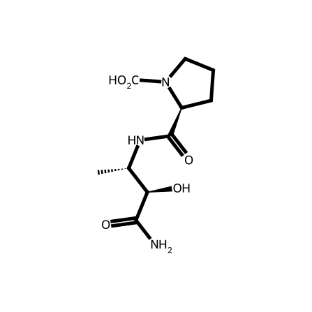 C[C@H](NC(=O)[C@@H]1CCCN1C(=O)O)[C@@H](O)C(N)=O